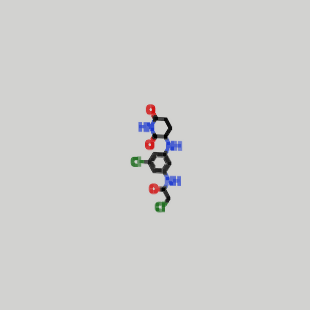 O=C1CCC(Nc2cc(Cl)cc(NC(=O)CCl)c2)C(=O)N1